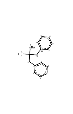 CCCCC(P)(Cc1ccccc1)Cc1ccccc1